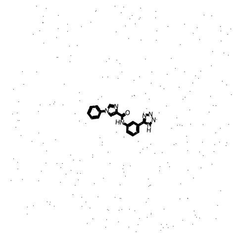 O=C(Nc1cccc(-c2nnn[nH]2)c1)c1cn(-c2ccccc2)cn1